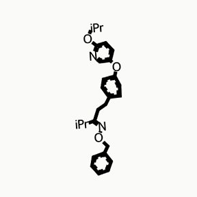 CC(C)Oc1ccc(Oc2ccc(CCC(=NOCc3ccccc3)C(C)C)cc2)cn1